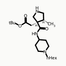 CCCCCCN1CCC(NC(=O)[C@@]2(CC(=O)OC(C)(C)C)CNC[C@@H]2C)CC1